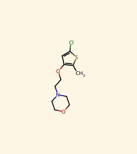 Cc1sc(Cl)cc1OCCN1CCOCC1